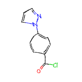 O=C(Cl)c1ccc(-n2cccn2)cc1